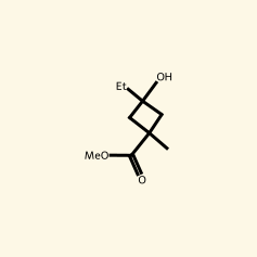 CCC1(O)CC(C)(C(=O)OC)C1